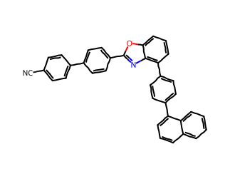 N#Cc1ccc(-c2ccc(-c3nc4c(-c5ccc(-c6cccc7ccccc67)cc5)cccc4o3)cc2)cc1